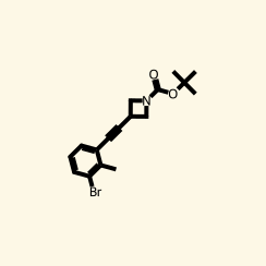 Cc1c(Br)cccc1C#CC1CN(C(=O)OC(C)(C)C)C1